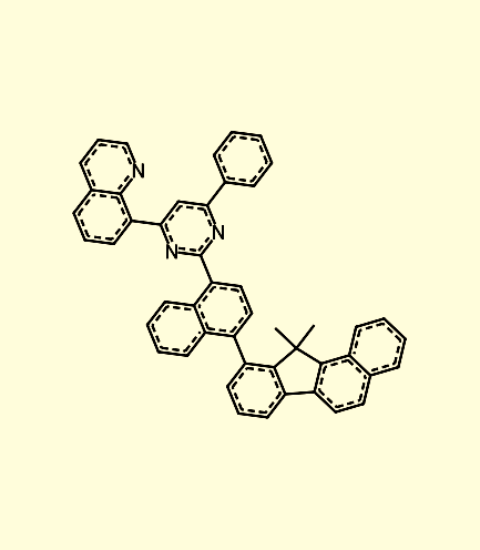 CC1(C)c2c(cccc2-c2ccc(-c3nc(-c4ccccc4)cc(-c4cccc5cccnc45)n3)c3ccccc23)-c2ccc3ccccc3c21